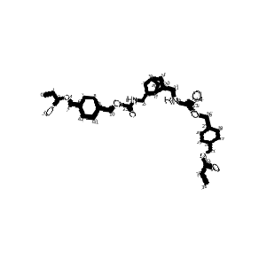 C=CC(=O)OCC1CCC(COC(=O)NCC2CC3CC(CNC(=O)OCC4CCC(COC(=O)C=C)CC4)C2C3)CC1